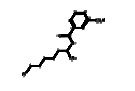 CCCCC(CCCCCC(C)C)OC(=O)c1cccc(C(=O)O)c1